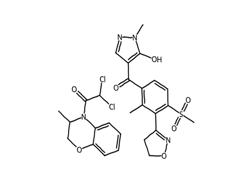 CC1COc2ccccc2N1C(=O)C(Cl)Cl.Cc1c(C(=O)c2cnn(C)c2O)ccc(S(C)(=O)=O)c1C1=NOCC1